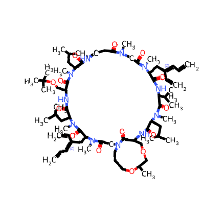 C=C/C=C(\C=C)CC1C(=O)NC(C(C)C)C(=O)N(C)C(CC(C)C)C(=O)NC2COCC(C)OCCCN(CC(=O)N(C)C(C/C(C=C)=C/C=C)C(=O)N(C)C(CC(C)C)C(=O)NC(COC(C)(C)C)C(=O)N(C)C(CC(C)C)C(=O)NCCC(=O)N(C)CC(=O)N1C)C2=O